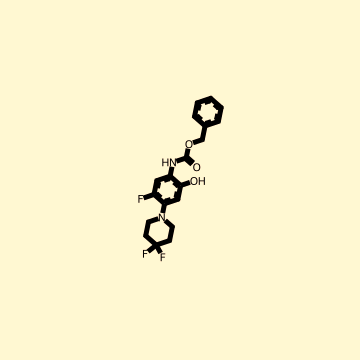 O=C(Nc1cc(F)c(N2CCC(F)(F)CC2)cc1O)OCc1ccccc1